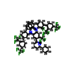 FC(F)(F)c1ccc(-c2ccc3c4ccccc4n(-c4cc(-c5cccc(-c6ccccc6)n5)c(C(F)(F)F)cc4-n4c5ccccc5c5ccc(-c6ccc(C(F)(F)F)cc6C(F)(F)F)cc54)c3c2)c(C(F)(F)F)c1